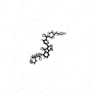 O=C(Nc1cccc2c1C(=O)C1=C(c3ccc(C(=O)N4CCN(CCO)CC4)s3)N=NC12)NN1CCOCC1